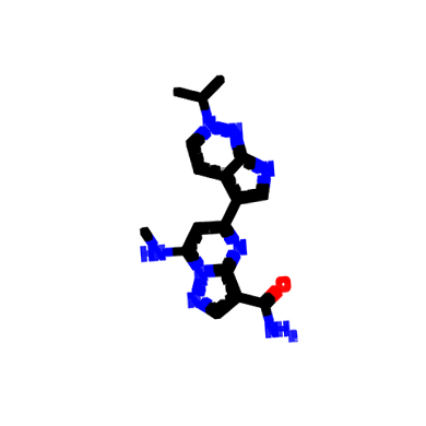 CNc1cc(-c2cnc3nn(C(C)C)ccc2-3)nc2c(C(N)=O)cnn12